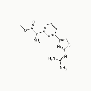 COC(=O)C(N)c1cccc(-c2csc(N=C(N)N)n2)c1